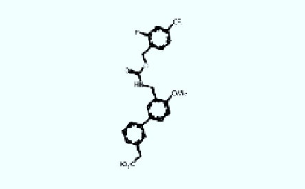 COc1ccc(-c2cccc(CC(=O)O)c2)cc1CNC(=O)OCc1ccc(C(F)(F)F)cc1F